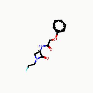 O=C(COc1ccccc1)N[C@@H]1CN(CCF)C1=O